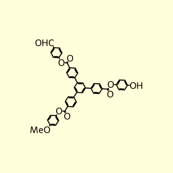 COc1ccc(OC(=O)c2ccc(-c3cc(-c4ccc(C(=O)Oc5ccc(O)cc5)cc4)cc(-c4ccc(C(=O)Oc5ccc(C=O)cc5)cc4)c3)cc2)cc1